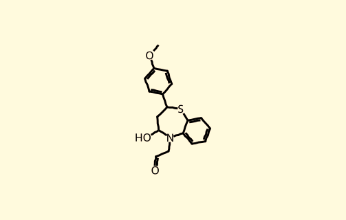 COc1ccc(C2CC(O)N(CC=O)c3ccccc3S2)cc1